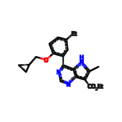 CCOC(=O)c1c(C)[nH]c2c(-c3cc(CC)ccc3OCC3CC3)ncnc12